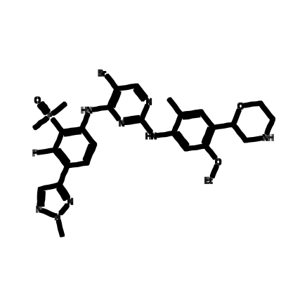 CCOc1cc(Nc2ncc(Br)c(Nc3ccc(-c4cnn(C)n4)c(F)c3P(C)(C)=O)n2)c(C)cc1C1CNCCO1